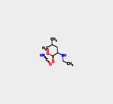 CCNC(CC(C)C)C(=O)O.N=C=O